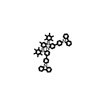 Cc1cc2c3c(c1)B(c1c(C)c(C)c(C)c(C)c1C)c1cc(-c4ccc(-n5c6ccccc6c6ccccc65)cc4)ccc1N3c1ccc(-c3ccc(-n4c5ccccc5c5ccccc54)cc3)cc1B2c1c(C)c(C)c(C)c(C)c1C